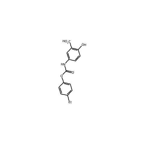 CCc1ccc(OC(=O)Nc2ccc(O)c(C(=O)O)c2)cc1